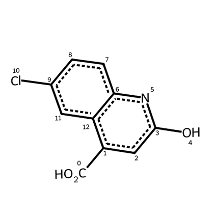 O=C(O)c1cc(O)nc2ccc(Cl)cc12